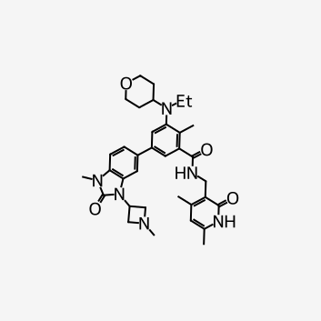 CCN(c1cc(-c2ccc3c(c2)n(C2CN(C)C2)c(=O)n3C)cc(C(=O)NCc2c(C)cc(C)[nH]c2=O)c1C)C1CCOCC1